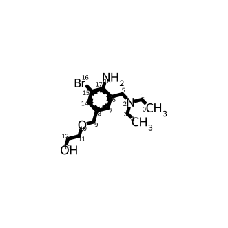 CCN(CC)Cc1cc(COCCO)cc(Br)c1N